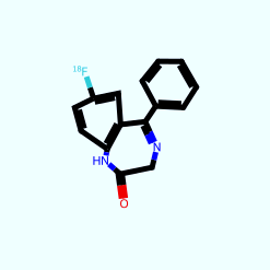 O=C1CN=C(c2ccccc2)c2cc([18F])ccc2N1